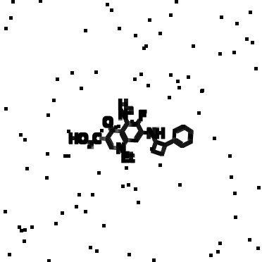 CCn1cc(C(=O)O)c(=O)c2c(N)c(F)c(NC3CCC3c3ccccc3)cc21